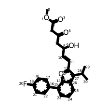 COC(=O)CC(=O)CC(O)C=Cc1oc2c(-c3ccc(F)cc3)cccc2c1C(C)C